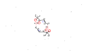 CC1(C)OB2C/C=C/C3OB(C/C=C/C1O2)OC3(C)C